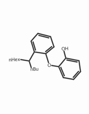 CCCCCCC(CCCC)c1ccccc1Oc1ccccc1O